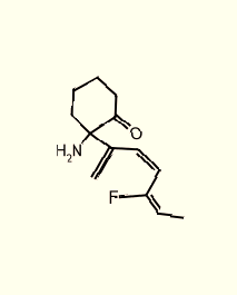 C=C(/C=C\C(F)=C/C)C1(N)CCCCC1=O